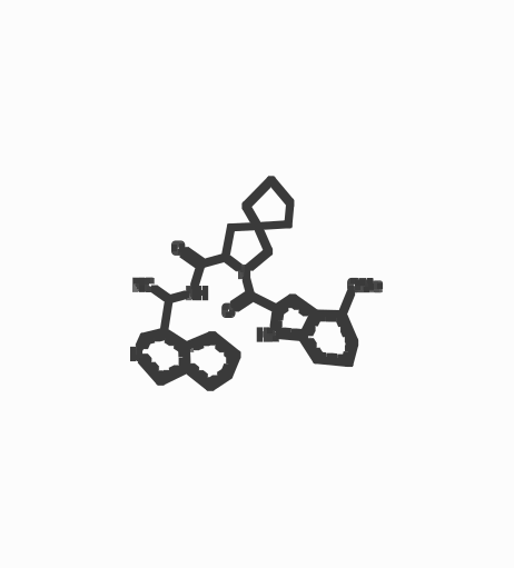 COc1cccc2[nH]c(C(=O)N3CC4(CCCC4)CC3C(=O)NC(C#N)c3cncc4ccccc34)cc12